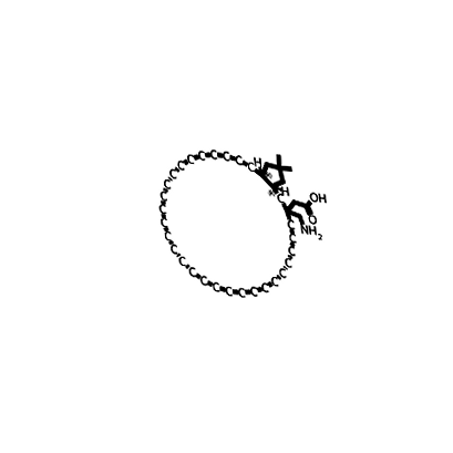 CC1(C)C[C@H]2CCCCCCCCCCCCCCCCCCCCCCCCCCCCC(CN)(CC(=O)O)C[C@H]2C1